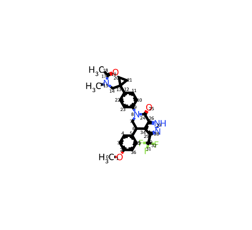 COc1ccc(C2CN(c3ccc(C4(CN(C)C(C)=O)CC4)cc3)C(=O)c3[nH]nc(C(F)(F)F)c32)cc1